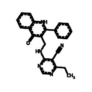 CCc1ncnc(NCc2c(-c3ccccc3)[nH]c3ccccc3c2=O)c1C#N